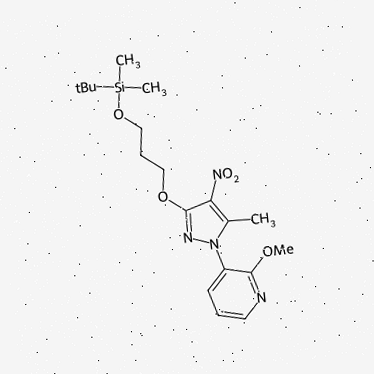 COc1ncccc1-n1nc(OCCCO[Si](C)(C)C(C)(C)C)c([N+](=O)[O-])c1C